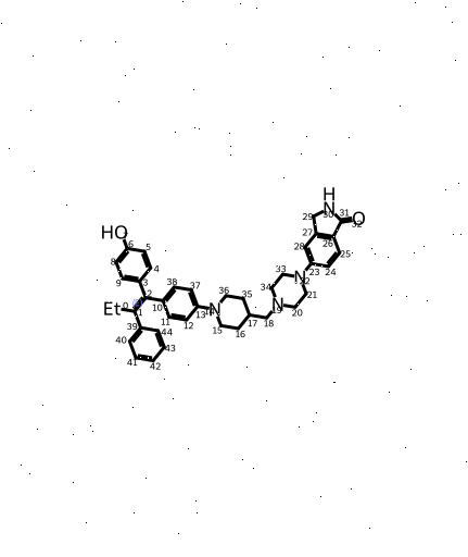 CC/C(=C(\c1ccc(O)cc1)c1ccc(N2CCC(CN3CCN(c4ccc5c(c4)CNC5=O)CC3)CC2)cc1)c1ccccc1